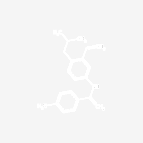 C=Cc1cc(NC(=C)c2ccc(N)cc2)ccc1CC(C)C